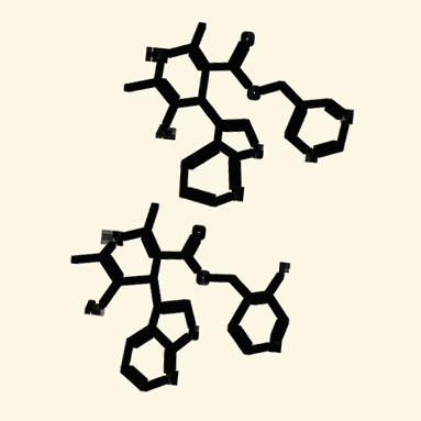 CC(=O)C1=C(C)NC(C)=C(C(=O)OCc2ccncc2F)C1c1csc2ncccc12.CC(=O)C1=C(C)NC(C)=C(C(=O)OCc2cncnc2)C1c1csc2ncccc12